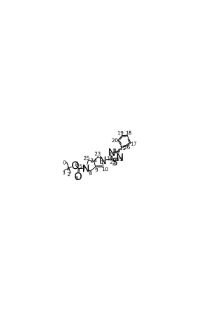 CC(C)(C)OC(=O)N1CC2=CN(c3nc(-c4ccccc4)ns3)CC2C1